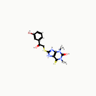 Cn1c(=S)c2[nH]c(SCC(=O)c3cccc(Br)c3)nc2n(C)c1=O